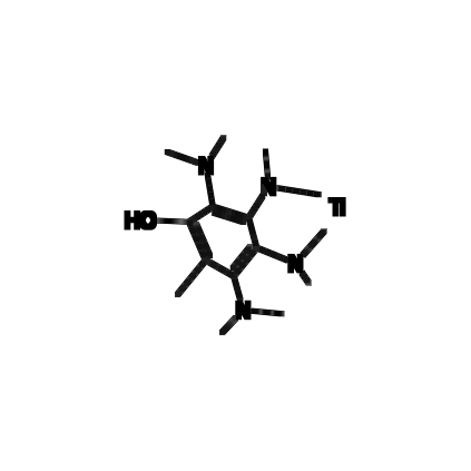 Cc1c(O)c(N(C)C)c(N(C)C)c(N(C)C)c1N(C)C.[Ti]